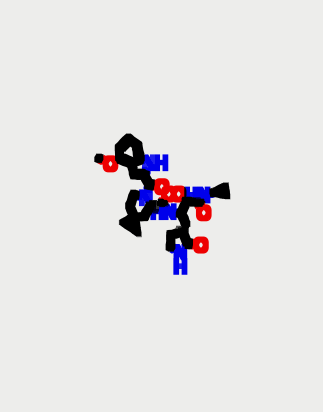 COc1cccc2[nH]c(C(=O)N3CCC4(CC4)C[C@H]3C(=O)NC(C[C@@H]3CCNC3=O)C(=O)C(=O)NC3CC3)cc12